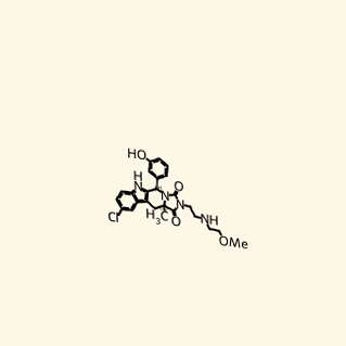 COCCNCCN1C(=O)N2[C@H](c3cccc(O)c3)c3[nH]c4ccc(Cl)cc4c3C[C@@]2(C)C1=O